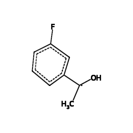 C[C](O)c1cccc(F)c1